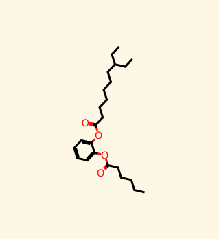 CCCCCC(=O)Oc1ccccc1OC(=O)CCCCCCC(CC)CC